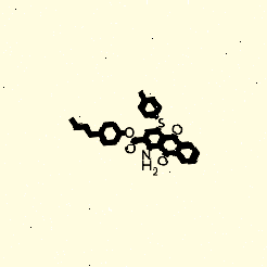 CCCCC1CCC(OC(=O)c2cc(Sc3ccc(C)cc3)c3c(c2N)C(=O)c2ccccc2C3=O)CC1